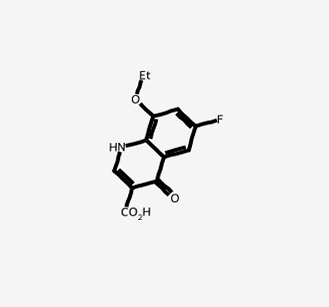 CCOc1cc(F)cc2c(=O)c(C(=O)O)c[nH]c12